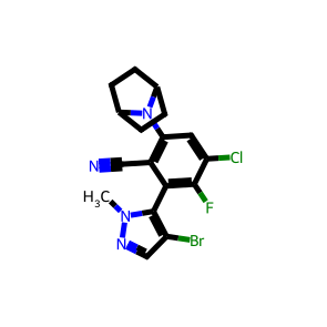 Cn1ncc(Br)c1-c1c(F)c(Cl)cc(N2C3CCC2CC3)c1C#N